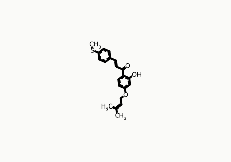 CSc1ccc(C=CC(=O)c2ccc(OCC=C(C)C)cc2O)cc1